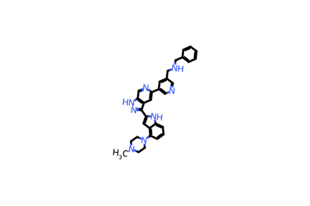 CN1CCN(c2cccc3[nH]c(-c4n[nH]c5cnc(-c6cncc(CNCc7ccccc7)c6)cc45)cc23)CC1